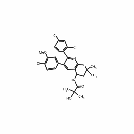 COc1cc(-c2cc3c(nc2-c2ccc(Cl)cc2Cl)OC(C)(C)CC3NC(=O)C(C)(C)O)ccc1Cl